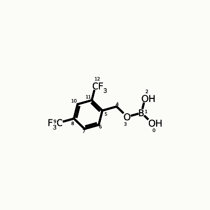 OB(O)OCc1ccc(C(F)(F)F)cc1C(F)(F)F